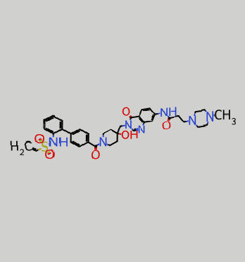 C=CS(=O)(=O)Nc1ccccc1-c1ccc(C(=O)N2CCC(O)(Cn3cnc4cc(NC(=O)CCN5CCN(C)CC5)ccc4c3=O)CC2)cc1